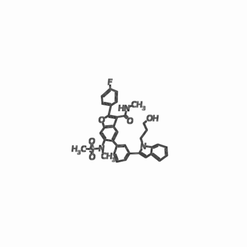 CNC(=O)c1c(-c2ccc(F)cc2)oc2cc(N(C)S(C)(=O)=O)c(-c3cccc(-c4cc5ccccc5n4CCCO)c3)cc12